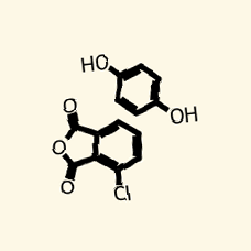 O=C1OC(=O)c2c(Cl)cccc21.Oc1ccc(O)cc1